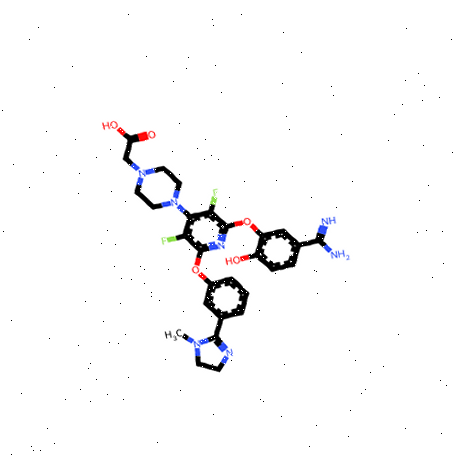 CN1CCN=C1c1cccc(Oc2nc(Oc3cc(C(=N)N)ccc3O)c(F)c(N3CCN(CC(=O)O)CC3)c2F)c1